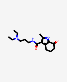 CCN(CC)CCCNC(=O)c1c(C)[nH]c2c1CCCC2=O